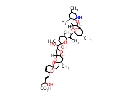 C=C(C[C@@]12C[C@@H](C)C[C@@H](O1)[C@H]1O[C@]3(C[C@H]1O2)NC[C@H](C)C[C@@H]3C)[C@H]1O[C@@](O)([C@H](O)[C@@H]2C[C@H]3O[C@@]4(CC[C@]5(CC=C[C@@H](/C=C/C(O)CC(=O)O)O5)O4)[C@H](C)C[C@H]3O2)[C@H](C)C[C@@H]1C